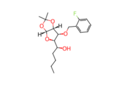 CCCC[C@H](O)[C@H]1O[C@@H]2OC(C)(C)O[C@@H]2[C@H]1OCc1ccccc1F